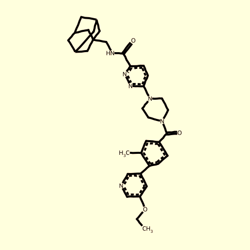 CCOc1cncc(-c2ccc(C(=O)N3CCN(c4ccc(C(=O)NCC56CC7CC(CC(C7)C5)C6)nn4)CC3)cc2C)c1